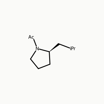 CC(=O)N1CCC[C@@H]1CC(C)C